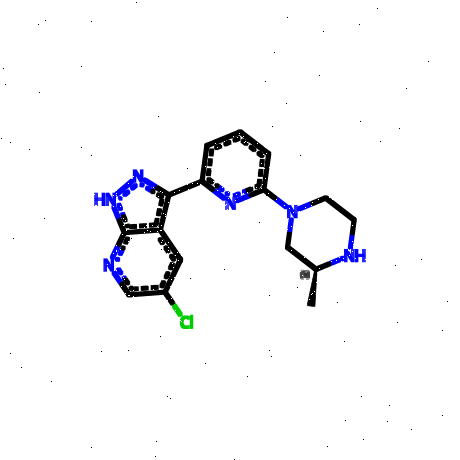 C[C@H]1CN(c2cccc(-c3n[nH]c4ncc(Cl)cc34)n2)CCN1